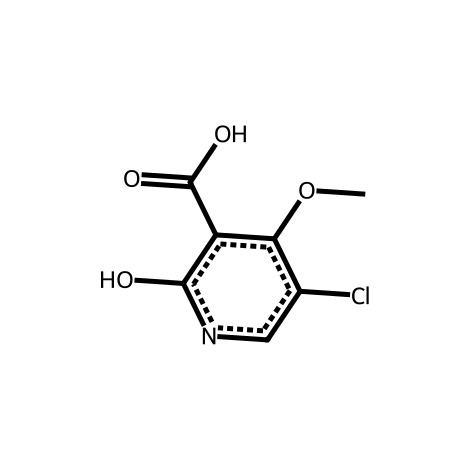 COc1c(Cl)cnc(O)c1C(=O)O